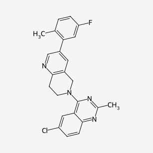 Cc1nc(N2CCc3ncc(-c4cc(F)ccc4C)cc3C2)c2cc(Cl)ccc2n1